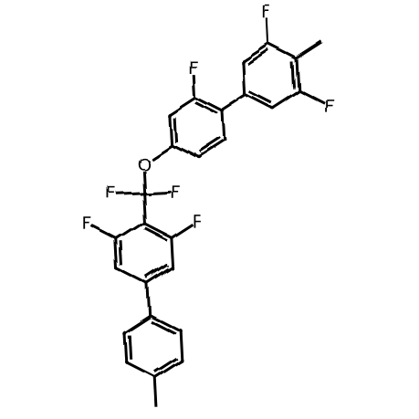 Cc1ccc(-c2cc(F)c(C(F)(F)Oc3ccc(-c4cc(F)c(C)c(F)c4)c(F)c3)c(F)c2)cc1